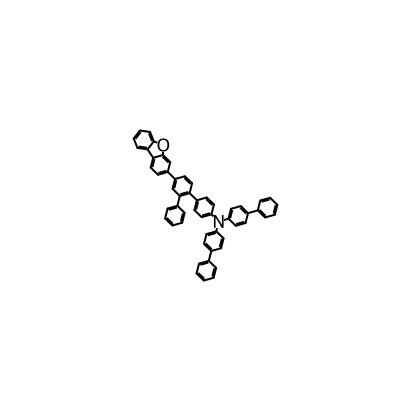 c1ccc(-c2ccc(N(c3ccc(-c4ccccc4)cc3)c3ccc(-c4ccc(-c5ccc6c(c5)oc5ccccc56)cc4-c4ccccc4)cc3)cc2)cc1